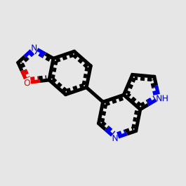 c1cc2c(-c3ccc4ncoc4c3)cncc2[nH]1